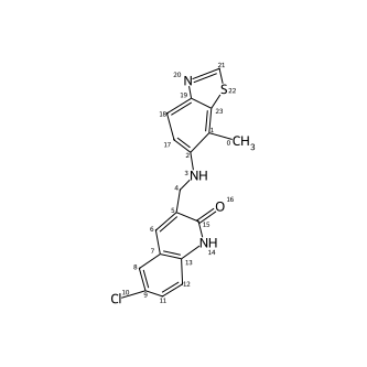 Cc1c(NCc2cc3cc(Cl)ccc3[nH]c2=O)ccc2ncsc12